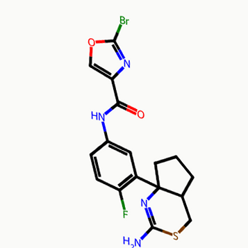 NC1=NC2(c3cc(NC(=O)c4coc(Br)n4)ccc3F)CCCC2CS1